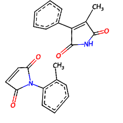 CC1=C(c2ccccc2)C(=O)NC1=O.Cc1ccccc1N1C(=O)C=CC1=O